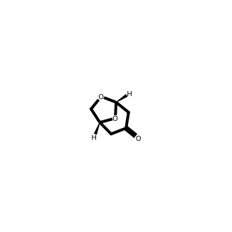 O=C1C[C@@H]2CO[C@H](C1)O2